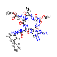 C[C@@H]1NC(=O)C(NC(=O)OC(C)(C)C)CNC(=O)[C@H](C2CCNC(=N)N2)NC(=O)/C(=C/NC(=O)Nc2cccc(-c3ccccc3)c2)NC(=O)[C@H](CNC(=O)OC(C)(C)C)NC1=O